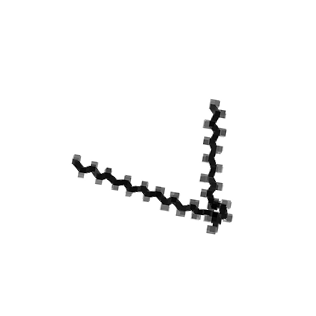 CCCCCCCCCCCCCCCCC1N(C)C=CN1CCCCCCCCCCC